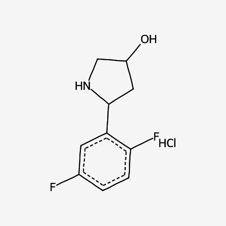 Cl.OC1CNC(c2cc(F)ccc2F)C1